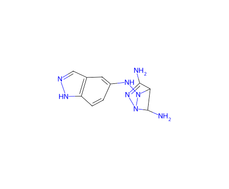 NC1=NN2C(N)C1N2Nc1ccc2[nH]ncc2c1